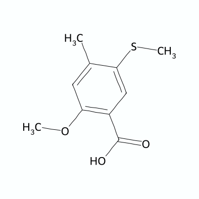 COc1cc(C)c(SC)cc1C(=O)O